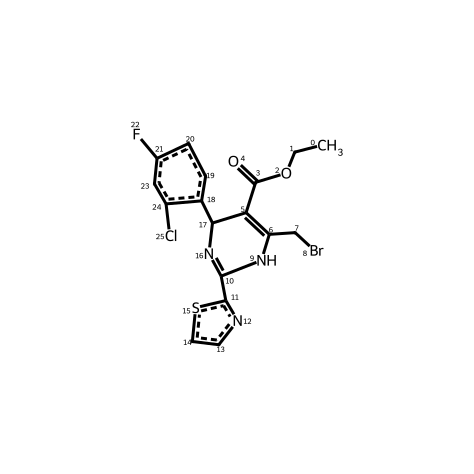 CCOC(=O)C1=C(CBr)NC(c2nccs2)=NC1c1ccc(F)cc1Cl